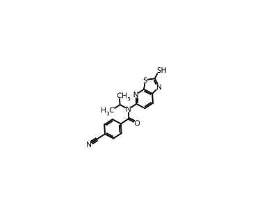 CC(C)N(C(=O)c1ccc(C#N)cc1)c1ccc2nc(S)sc2n1